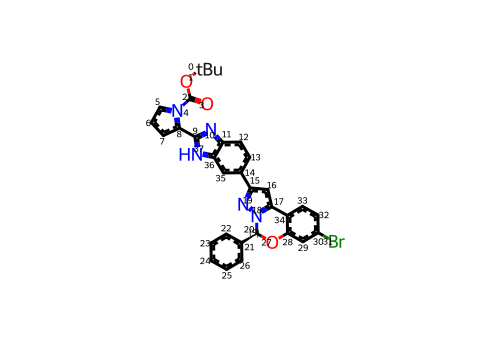 CC(C)(C)OC(=O)n1cccc1-c1nc2ccc(-c3cc4n(n3)[C@H](c3ccccc3)Oc3cc(Br)ccc3-4)cc2[nH]1